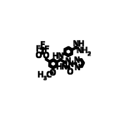 COc1cc(COC(=O)C(F)(F)F)cc(C(Nc2ccc(C(=N)N)cc2)c2nn(-c3ncccn3)c(=O)[nH]2)c1